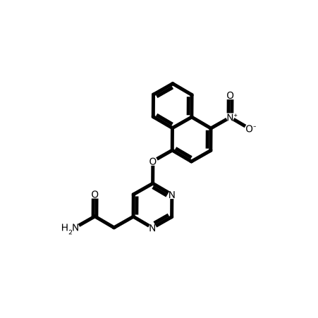 NC(=O)Cc1cc(Oc2ccc([N+](=O)[O-])c3ccccc23)ncn1